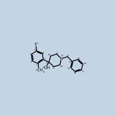 Cc1ccc(F)cc1C1(O)CCN(Cc2ccccc2)CC1